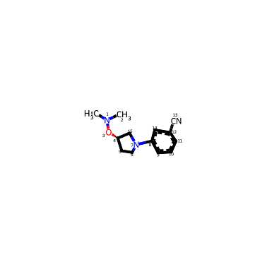 CN(C)O[C@@H]1CCN(c2cccc(C#N)c2)C1